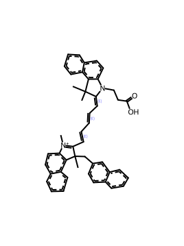 C[N+]1=C(/C=C/C=C/C=C2/N(CCC(=O)O)c3ccc4ccccc4c3C2(C)C)C(C)(Cc2ccc3ccccc3c2)c2c1ccc1ccccc21